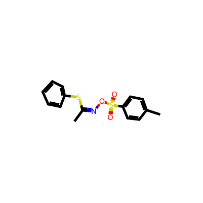 C/C(=N/OS(=O)(=O)c1ccc(C)cc1)Sc1ccccc1